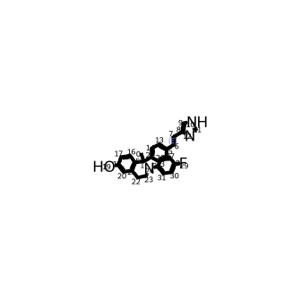 CC1(c2ccc(/C=C/c3c[nH]cn3)cc2)c2ccc(O)cc2CCN1c1ccc(F)cc1